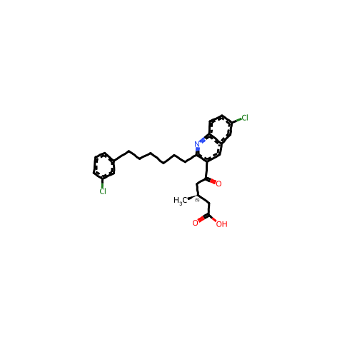 C[C@H](CC(=O)O)CC(=O)c1cc2cc(Cl)ccc2nc1CCCCCCc1cccc(Cl)c1